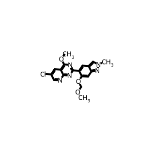 COCOc1cc2nn(C)cc2cc1-c1nc(OC)c2cc(Cl)cnc2n1